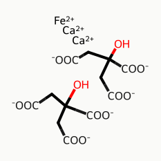 O=C([O-])CC(O)(CC(=O)[O-])C(=O)[O-].O=C([O-])CC(O)(CC(=O)[O-])C(=O)[O-].[Ca+2].[Ca+2].[Fe+2]